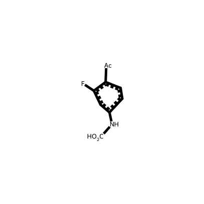 CC(=O)c1ccc(NC(=O)O)cc1F